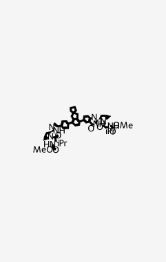 COC(=O)N[C@H](C(=O)N1C2CC2C[C@H]1c1ncc(-c2ccc(-c3ccc(-c4ccc5nc([C@@H]6CC7CC7N6C(=O)[C@@H](NC(=O)OC)C(C)C)[nH]c(=O)c5c4)c4c3CC3(CCCC3)C4)cc2)[nH]1)C(C)C